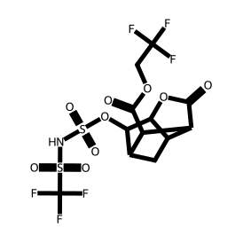 O=C1OC2C3CC(C2OS(=O)(=O)NS(=O)(=O)C(F)(F)F)C(C(=O)OCC(F)(F)F)C13